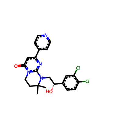 CC1(C)CCn2c(nc(-c3ccncc3)cc2=O)N1C[C@@H](O)c1ccc(Cl)c(Cl)c1